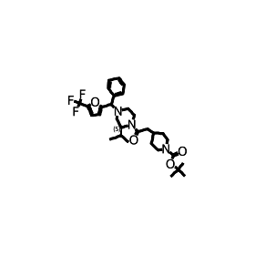 CC(C)[C@H]1CN(C(c2ccccc2)c2ccc(C(F)(F)F)o2)CCN1C(=O)CC1CCN(C(=O)OC(C)(C)C)CC1